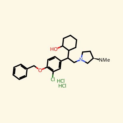 CN[C@@H]1CCN(CC(c2ccc(OCc3ccccc3)c(Cl)c2)C2CCCCC2O)C1.Cl.Cl